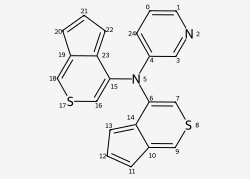 c1cncc(N(c2cscc3cccc2-3)c2cscc3cccc2-3)c1